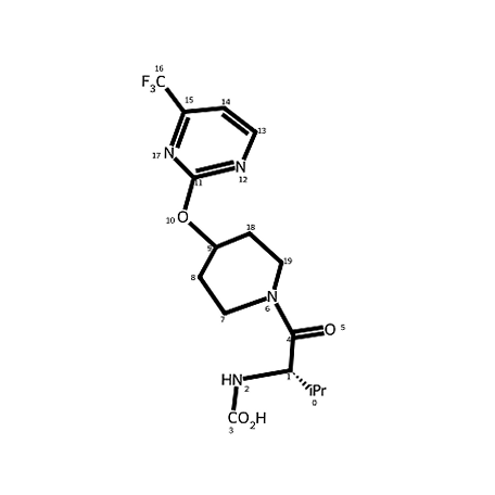 CC(C)[C@H](NC(=O)O)C(=O)N1CCC(Oc2nccc(C(F)(F)F)n2)CC1